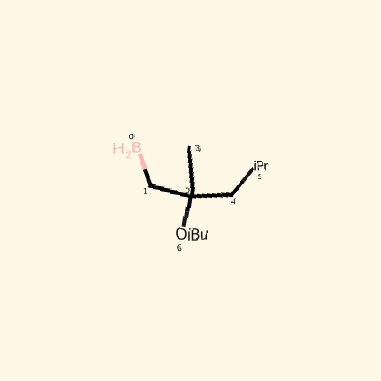 BCC(C)(CC(C)C)OCC(C)C